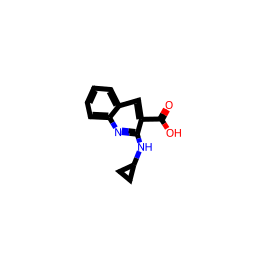 O=C(O)c1cc2ccccc2nc1NC1CC1